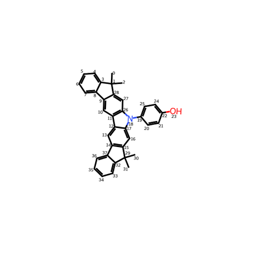 CC1(C)c2ccccc2-c2cc3c4cc5c(cc4n(-c4ccc(O)cc4)c3cc21)C(C)(C)c1ccccc1-5